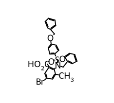 Cc1cc(Br)cc(C(=O)O)c1N(Cc1ccccc1)S(=O)(=O)c1ccc(OCc2ccccc2)cc1